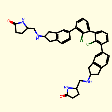 O=C1CCC(CNC2Cc3ccc(-c4cccc(-c5cccc(-c6ccc7c(c6)CC(NCC6CCC(=O)N6)C7)c5Cl)c4Cl)cc3C2)N1